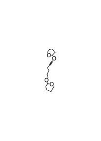 C(#COC1CCCCO1)CCCCOC1CCCCO1